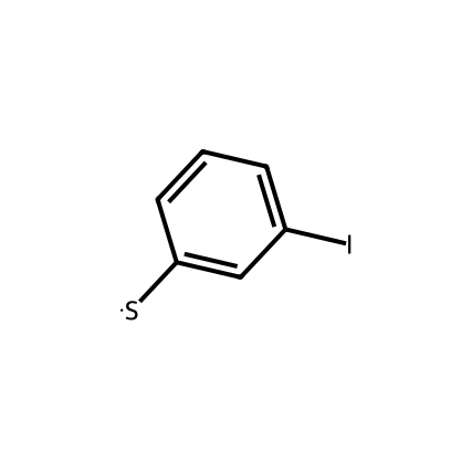 [S]c1cccc(I)c1